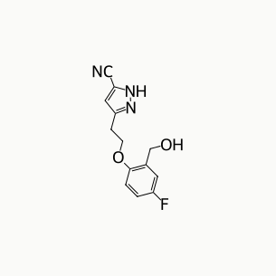 N#Cc1cc(CCOc2ccc(F)cc2CO)n[nH]1